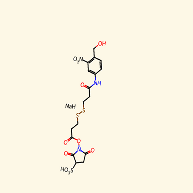 O=C(CCSSCCC(=O)ON1C(=O)CC(S(=O)(=O)O)C1=O)Nc1ccc(CO)c([N+](=O)[O-])c1.[NaH]